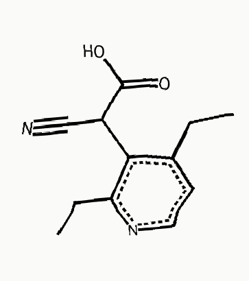 CCc1ccnc(CC)c1C(C#N)C(=O)O